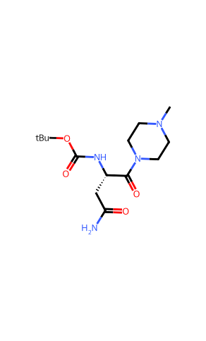 CN1CCN(C(=O)[C@H](CC(N)=O)NC(=O)OC(C)(C)C)CC1